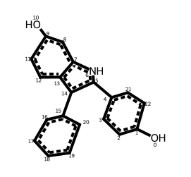 Oc1ccc(-c2[nH]c3cc(O)ccc3c2-c2ccccc2)cc1